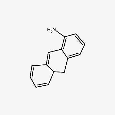 Nc1cccc2c1C=C1C=CC=CC1C2